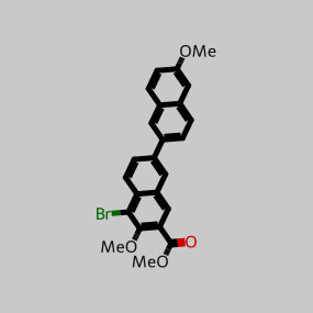 COC(=O)c1cc2cc(-c3ccc4cc(OC)ccc4c3)ccc2c(Br)c1OC